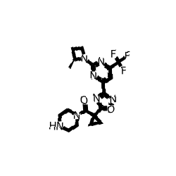 C[C@H]1CCN1c1nc(-c2noc(C3(C(=O)N4CCNCC4)CC3)n2)cc(C(F)(F)F)n1